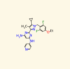 CCOc1cc(F)c(Cn2nc(-c3nc(N)cc(Nc4ccncc4)n3)c(C)c2C2CC2)c(F)c1